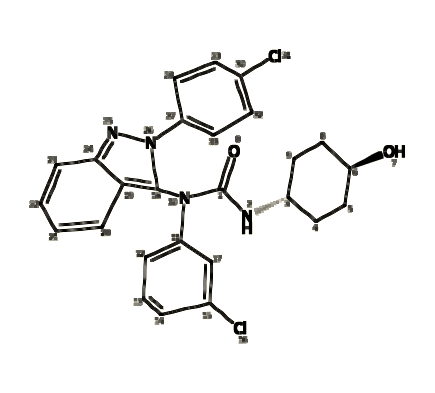 O=C(N[C@H]1CC[C@H](O)CC1)N(c1cccc(Cl)c1)c1c2ccccc2nn1-c1ccc(Cl)cc1